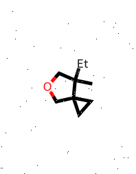 CCC1(C)COCC12CC2